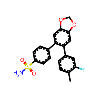 Cc1ccc(-c2cc3c(cc2-c2ccc(S(N)(=O)=O)cc2)OCO3)cc1F